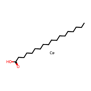 CCCCCCCCCCCCCCCCCC(=O)O.[Ca]